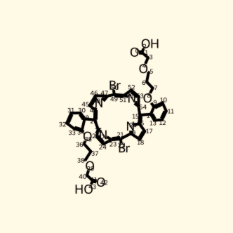 O=C(O)COCCCOc1ccccc1C1=C2C=CC(=N2)C(Br)=C2C=CC(=N2)C(c2ccccc2OCCCOCC(=O)O)=C2C=CC(=N2)C(Br)=C2C=CC1=N2